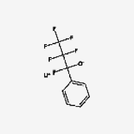 [Li+].[O-]C(F)(c1ccccc1)C(F)(F)C(F)(F)F